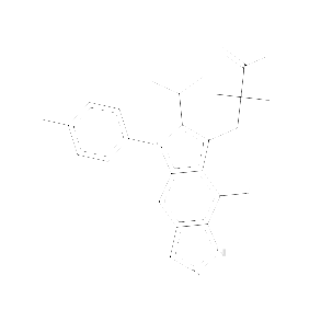 CC(C)c1c(CC(F)(F)C(=O)O)c2c(F)c3[nH]ncc3cc2n1-c1ccc(F)cc1